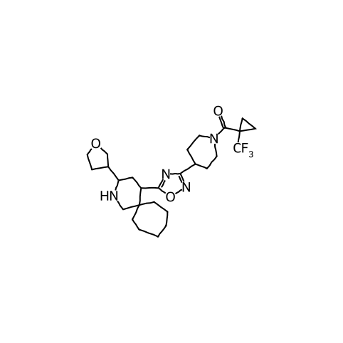 O=C(N1CCC(c2noc(C3CC(C4CCOC4)NCC34CCCCCC4)n2)CC1)C1(C(F)(F)F)CC1